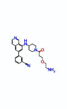 N#Cc1cccc(-c2cc(NC3CCN(C(=O)CCOCCN)CC3)c3cnccc3c2)c1